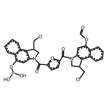 O=COc1cc2c(c3ccccc13)C(CCl)CN2C(=O)c1ccc(C(=O)N2CC(CCl)c3c2cc(OP(O)O)c2ccccc32)o1